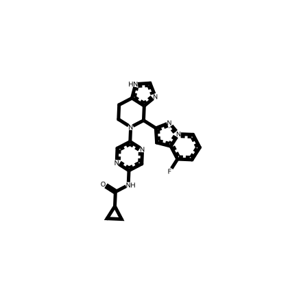 O=C(Nc1cnc(N2CCc3[nH]cnc3C2c2cc3c(F)cccn3n2)cn1)C1CC1